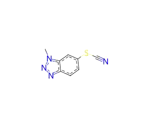 Cn1nnc2ccc(SC#N)cc21